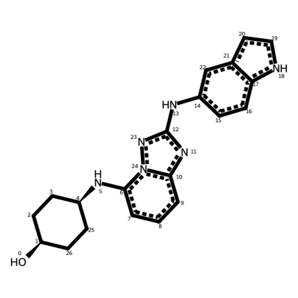 O[C@H]1CC[C@@H](Nc2cccc3nc(Nc4ccc5[nH]ccc5c4)nn23)CC1